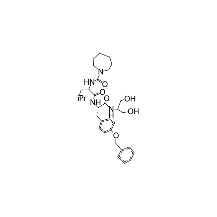 CC(C)C[C@H](NC(=O)N1CCCCCC1)C(=O)N[C@@H](Cc1ccc(OCc2ccccc2)cc1)C(=O)NC(CO)CO